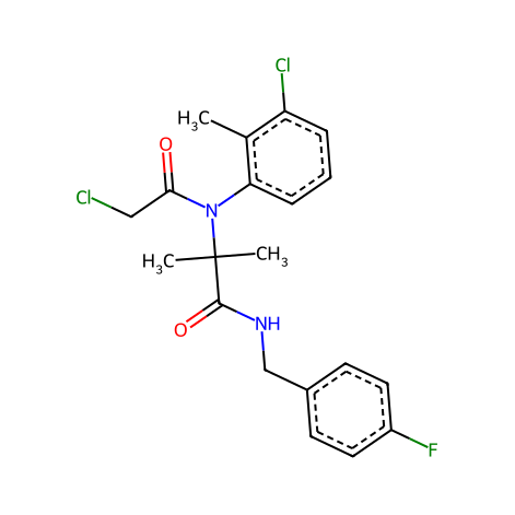 Cc1c(Cl)cccc1N(C(=O)CCl)C(C)(C)C(=O)NCc1ccc(F)cc1